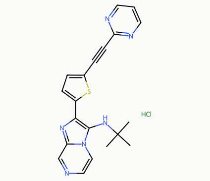 CC(C)(C)Nc1c(-c2ccc(C#Cc3ncccn3)s2)nc2cnccn12.Cl